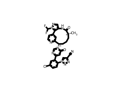 C[C@@H]1CCC[C@H](n2cnc(-c3cc(Cl)ccc3-n3cc(C#N)nn3)cc2=O)c2cc(ccn2)-c2c(cnn2C(F)F)NC1=O